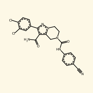 N#Cc1ccc(NC(=O)N2CCn3nc(-c4ccc(Cl)c(Cl)c4)c(C(N)=O)c3C2)cc1